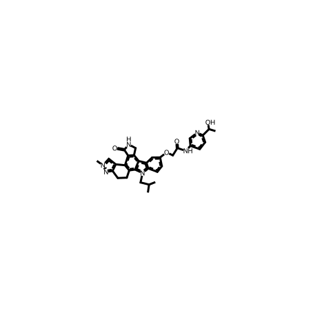 CC(C)Cn1c2ccc(OCC(=O)Nc3ccc(C(C)O)nc3)cc2c2c3c(c4c(c21)CCc1nn(C)cc1-4)C(=O)NC3